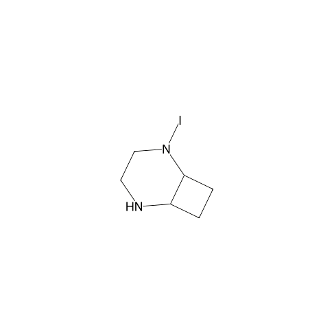 IN1CCNC2CCC21